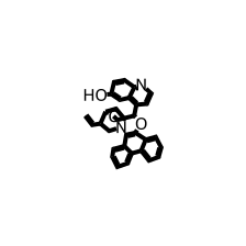 C=CC1CN2CCC1CC2C(Oc1cc2ccccc2c2ccccc12)c1ccnc2ccc(O)cc12